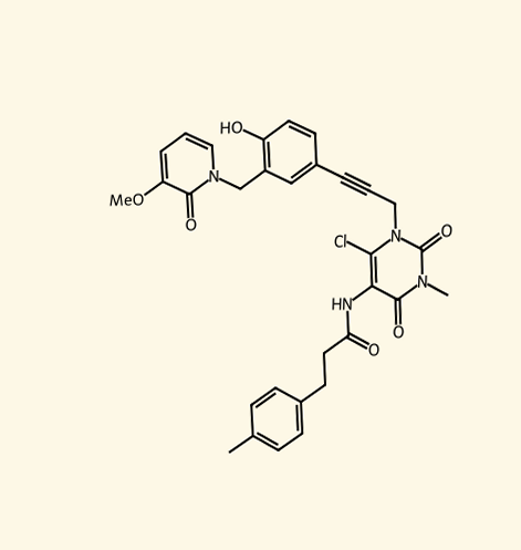 COc1cccn(Cc2cc(C#CCn3c(Cl)c(NC(=O)CCc4ccc(C)cc4)c(=O)n(C)c3=O)ccc2O)c1=O